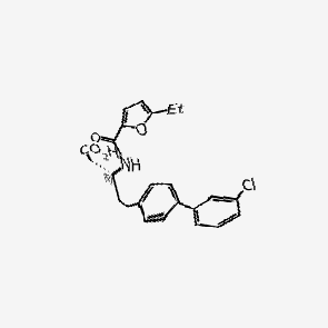 CCc1ccc(C(=O)N[C@@H](CC(=O)O)Cc2ccc(-c3cccc(Cl)c3)cc2)o1